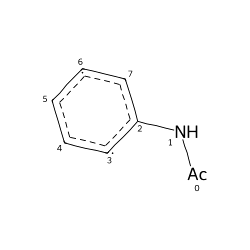 CC(=O)Nc1[c]cc[c]c1